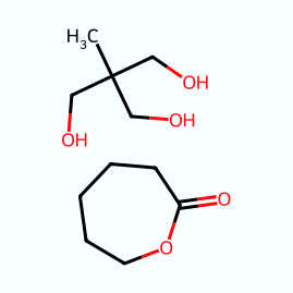 CC(CO)(CO)CO.O=C1CCCCCO1